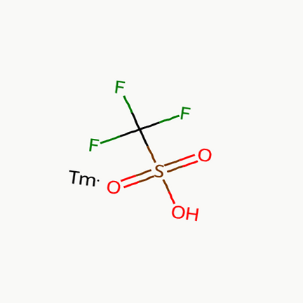 O=S(=O)(O)C(F)(F)F.[Tm]